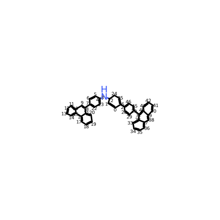 C1=CC(Nc2ccc(-c3cc4ccccc4c4ccccc34)cc2)CC=C1c1ccc(-c2c3ccccc3cc3ccccc23)cc1